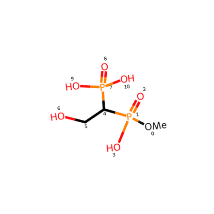 COP(=O)(O)C(CO)P(=O)(O)O